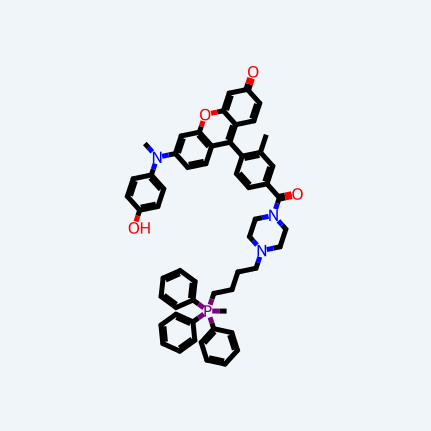 Cc1cc(C(=O)N2CCN(CCCCP(C)(c3ccccc3)(c3ccccc3)c3ccccc3)CC2)ccc1-c1c2ccc(=O)cc-2oc2cc(N(C)c3ccc(O)cc3)ccc12